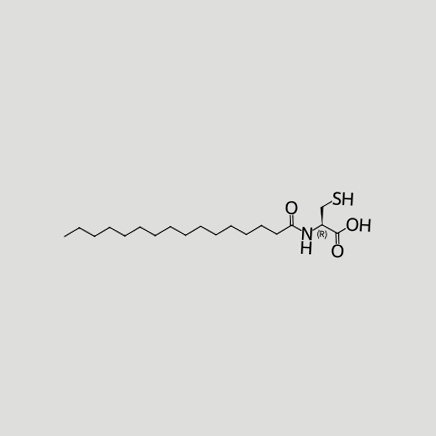 CCCCCCCCCCCCCCCC(=O)N[C@@H](CS)C(=O)O